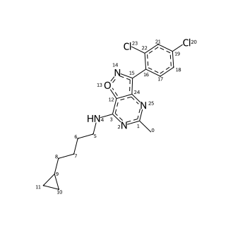 Cc1nc(NCCCCC2CC2)c2onc(-c3ccc(Cl)cc3Cl)c2n1